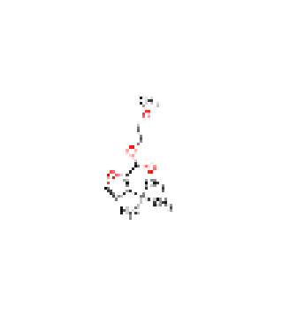 COCCOC(=O)c1occc1C(C)(C)C